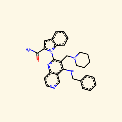 NC(=O)c1cc2ccccc2n1-c1nc2ccncc2c(NCc2ccccc2)c1CN1CCCCC1